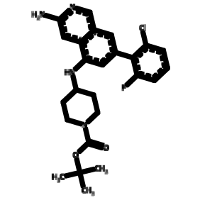 CC(C)(C)OC(=O)N1CCC(Nc2cc(-c3c(F)cccc3Cl)cc3cnc(N)cc23)CC1